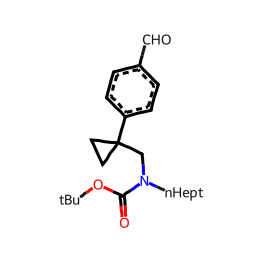 CCCCCCCN(CC1(c2ccc(C=O)cc2)CC1)C(=O)OC(C)(C)C